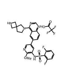 COc1ncc(-c2ccc3ncnc(N4CCC5(CNC5)C4)c3c2)cc1NS(=O)(=O)c1c(F)cccc1F.O=C(O)C(F)(F)F